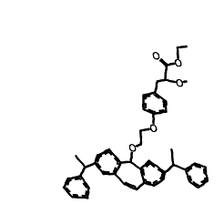 CCOC(=O)C(Cc1ccc(OCCOC2c3ccc(C(C)c4ccccc4)cc3C=Cc3ccc(C(C)c4ccccc4)cc32)cc1)OC